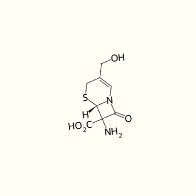 NC1(C(=O)O)C(=O)N2C=C(CO)CS[C@H]21